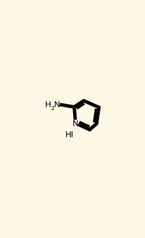 I.Nc1ccccn1